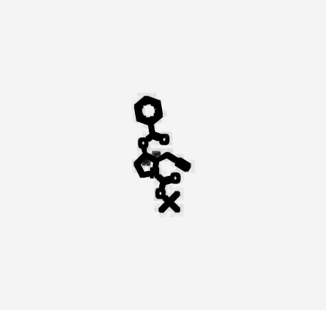 C#CC[C@@H]1[C@H](OC(=O)c2ccccc2)CCN1C(=O)OC(C)(C)C